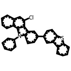 Clc1cc2ccccc2c2c1c1cc(-c3ccc4sc5ccccc5c4c3)ccc1n2-c1ccccc1